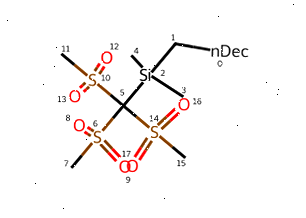 CCCCCCCCCCC[Si](C)(C)C(S(C)(=O)=O)(S(C)(=O)=O)S(C)(=O)=O